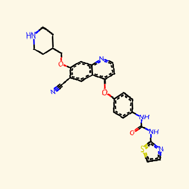 N#Cc1cc2c(Oc3ccc(NC(=O)Nc4nccs4)cc3)ccnc2cc1OCC1CCNCC1